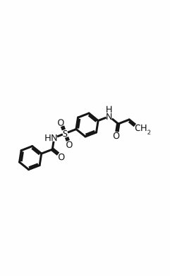 C=CC(=O)Nc1ccc(S(=O)(=O)NC(=O)c2ccccc2)cc1